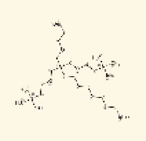 CCCCCCCCCCCCOCC(CCCCCCCOCCCCCC)(COCC[N+](C)(C)CCCC)COCC[N+](C)(C)CCCC